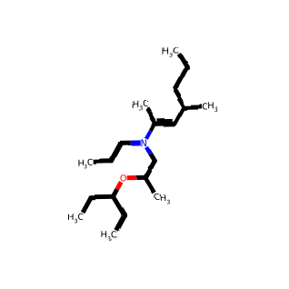 CCCC(C)/C=C(\C)N(CCC)CC(C)OC(CC)CC